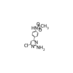 CS(=O)(=O)Nc1ccc(-c2cc(Cl)nc(N)n2)cc1